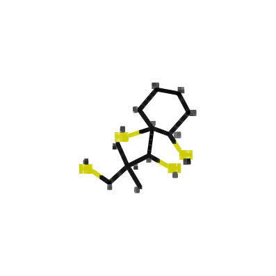 CC(C)(CS)C(S)C1(S)CCCCC1S